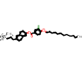 CCCCCCCCCCCCOc1ccc(C(=O)Oc2ccc3cc(CCC[Si](C)(C)C)ccc3c2)cc1F